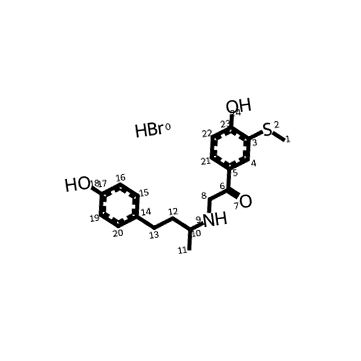 Br.CSc1cc(C(=O)CNC(C)CCc2ccc(O)cc2)ccc1O